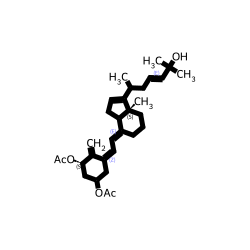 C=C1/C(=C\C=C2/CCC[C@]3(C)C(C(C)C/C=C/C(C)(C)O)=CCC23)CC(OC(C)=O)C[C@@H]1OC(C)=O